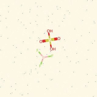 FB(F)F.O=S(=O)(O)O